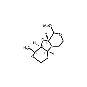 COC1OCCN2[C@@H]1O[C@@H]1[C@H](C)OCC[C@@H]12